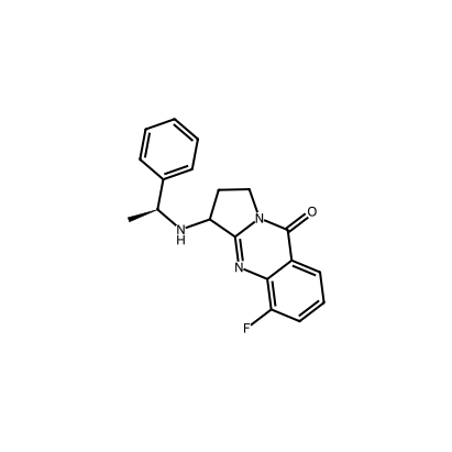 C[C@H](NC1CCn2c1nc1c(F)cccc1c2=O)c1ccccc1